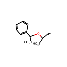 CC(C)C(OC(C(=O)O)c1ccccc1)S(=O)(=O)O